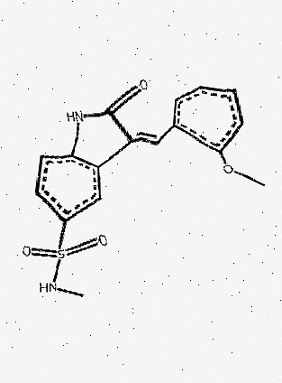 CNS(=O)(=O)c1ccc2c(c1)C(=Cc1ccccc1OC)C(=O)N2